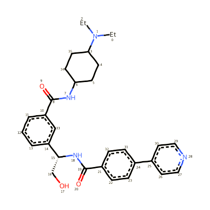 CCN(CC)C1CCC(NC(=O)c2cccc([C@@H](CO)NC(=O)c3ccc(-c4ccncc4)cc3)c2)CC1